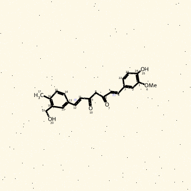 COc1cc(/C=C/C(=O)CC(=O)/C=C/c2ccc(C)c(CO)c2)ccc1O